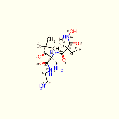 CCC(C)(C)C(=O)[C@@](CN)(NC(=O)C(C)(CC(C)C)C(=O)NO)C(=O)NCCN